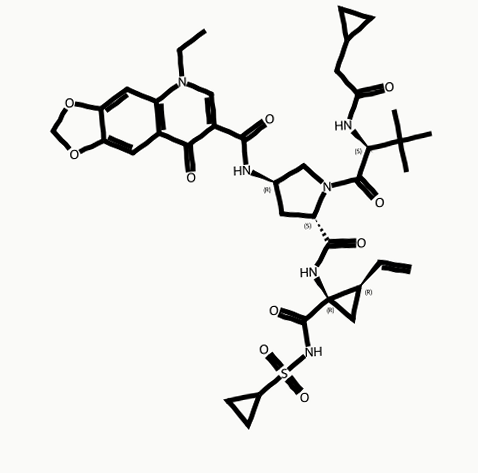 C=C[C@H]1C[C@]1(NC(=O)[C@@H]1C[C@@H](NC(=O)c2cn(CC)c3cc4c(cc3c2=O)OCO4)CN1C(=O)[C@@H](NC(=O)CC1CC1)C(C)(C)C)C(=O)NS(=O)(=O)C1CC1